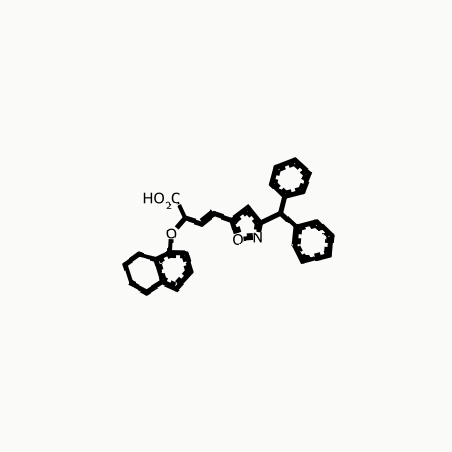 O=C(O)C(C=Cc1cc(C(c2ccccc2)c2ccccc2)no1)Oc1cccc2c1CCCC2